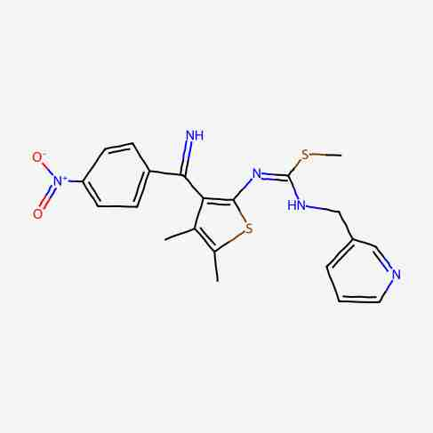 CS/C(=N/c1sc(C)c(C)c1C(=N)c1ccc([N+](=O)[O-])cc1)NCc1cccnc1